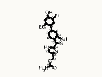 CCc1cc(O)c(F)cc1-c1ccc2c(-c3nc(COC(N)=O)c[nH]3)n[nH]c2c1